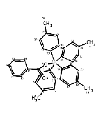 Cc1ccc(P(OC(=O)c2ccccc2)(c2ccc(C)cc2)(c2ccc(C)cc2)c2ccc(C)cc2)cc1